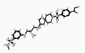 CCC(C)c1ccc(S(=O)(=O)N2CCC3(CC2)CC(NC[C@H](O)COc2cccc(S(=O)(=O)NC)c2)CO3)cc1